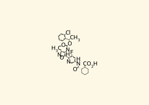 Cc1noc(-c2ncc(NC(=O)[C@H]3CCCC[C@@H]3C(=O)O)cc2F)c1NC(=O)OC(C)c1ccccc1Cl